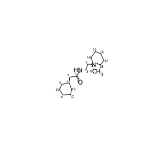 C[N+]1(CCNC(=O)CC2CCCCC2)CCCCC1